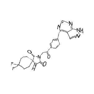 O=C(CN1C(=O)NC2(CCC(F)(F)CC2)C1=O)c1ccc(-c2ncnc3[nH]ncc23)cc1